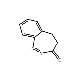 O=C1CCc2ccccc2N=N1